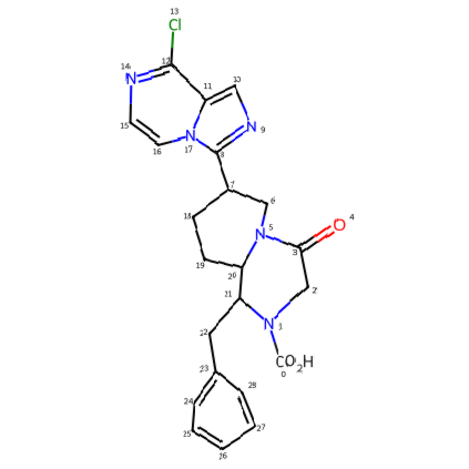 O=C(O)N1CC(=O)N2CC(c3ncc4c(Cl)nccn34)CCC2C1Cc1ccccc1